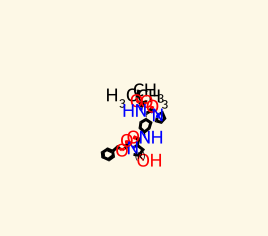 CC(C)(C)OC(=O)NC(C(=O)N1CCCC1)[C@H]1CC[C@H](NC(=O)C2C[C@@H](O)CN2C(=O)OCc2ccccc2)CC1